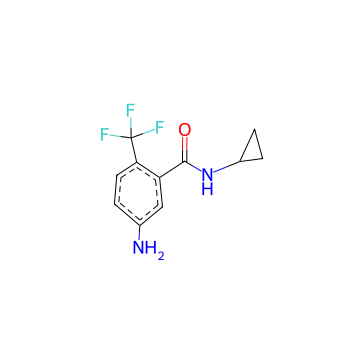 Nc1ccc(C(F)(F)F)c(C(=O)NC2CC2)c1